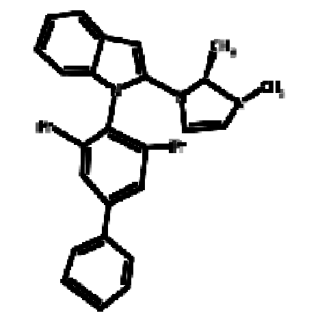 CC(C)c1cc(-c2ccccc2)cc(C(C)C)c1-n1c(N2C=CN(C)[C@@H]2C)cc2ccccc21